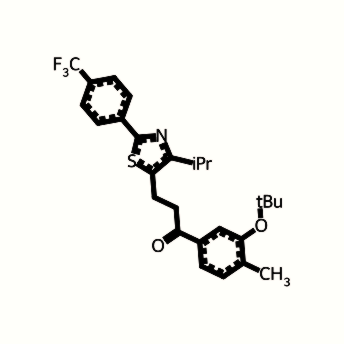 Cc1ccc(C(=O)CCc2sc(-c3ccc(C(F)(F)F)cc3)nc2C(C)C)cc1OC(C)(C)C